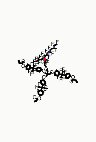 C=CC(=O)Oc1ccc(C(c2ccc(OCC(COCCC(F)(OC(F)(/C(F)=C(F)/C(F)=C(F)/C(F)=C(F)/C(F)=C(\F)CF)C(F)(F)C(F)(F)F)C(F)(F)F)(COc3ccc(C(c4ccc(OC(=O)C=C)cc4)(C(F)(F)F)C(F)(F)F)cc3)COc3ccc(C(c4ccc(OC(=O)C=C)cc4)(C(F)(F)F)C(F)(F)F)cc3)cc2)(C(F)(F)F)C(F)(F)F)cc1